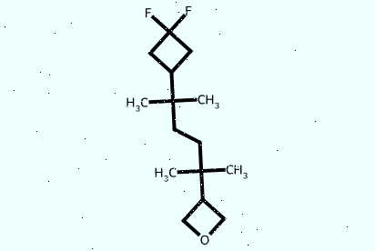 CC(C)(CCC(C)(C)C1CC(F)(F)C1)C1COC1